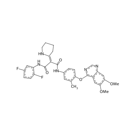 COc1cc2ncnc(Oc3ccc(NC(=O)/C(C(=O)Nc4cc(F)ccc4F)=C4\CCCCN4)cc3C)c2cc1OC